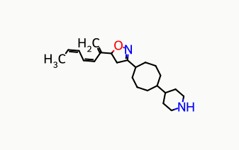 C=C(/C=C\C=C/C)C1CC(C2CCCC(C3CCNCC3)CCC2)=NO1